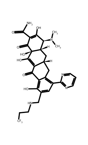 CN(C)[C@@H]1C(O)=C(C(N)=O)C(=O)[C@@]2(O)C(O)=C3C(=O)c4c(O)c(CNCCC(F)(F)F)cc(-c5ncccn5)c4C[C@H]3C[C@@H]12